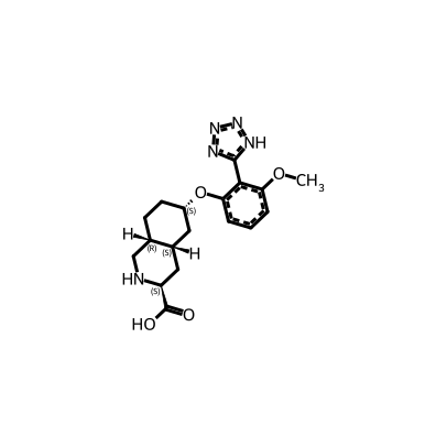 COc1cccc(O[C@H]2CC[C@H]3CN[C@H](C(=O)O)C[C@H]3C2)c1-c1nnn[nH]1